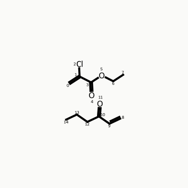 C=C(Cl)C(=O)OCC.C=CC(=O)CCC